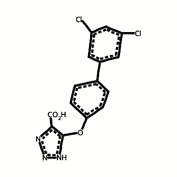 O=C(O)c1nn[nH]c1Oc1ccc(-c2cc(Cl)cc(Cl)c2)cc1